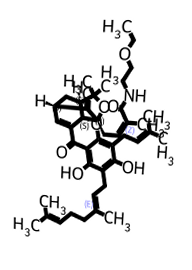 CCOCCNC(=O)/C(C)=C\C[C@@]12OC(C)(C)[C@@H]3C[C@@H](C=C4C(=O)c5c(O)c(C/C=C(\C)CCC=C(C)C)c(O)c(CC=C(C)C)c5O[C@]431)C2=O